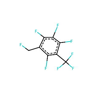 FCc1c(F)c(F)c(F)c(C(F)(F)F)c1F